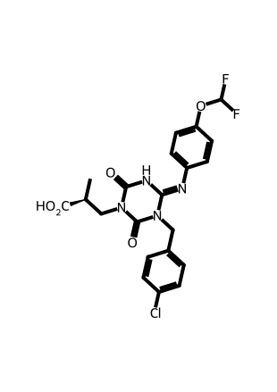 C[C@@H](Cn1c(=O)[nH]/c(=N\c2ccc(OC(F)F)cc2)n(Cc2ccc(Cl)cc2)c1=O)C(=O)O